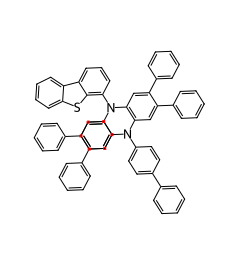 c1ccc(-c2ccc(N(c3ccc(-c4ccccc4)cc3)c3cc(-c4ccccc4)c(-c4ccccc4)cc3N(c3ccc(-c4ccccc4)cc3)c3cccc4c3sc3ccccc34)cc2)cc1